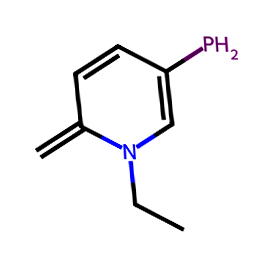 C=C1C=CC(P)=CN1CC